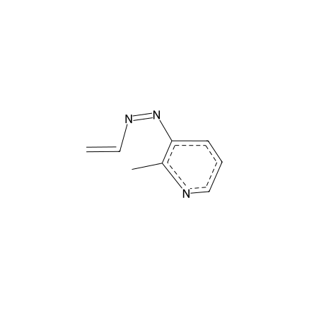 C=C/N=N\c1cccnc1C